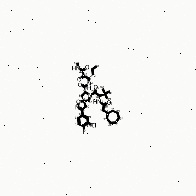 CCC[C@H](NC(=O)[C@@H]1C[C@]2(CC(c3ccc(F)c(Cl)c3)=NO2)CN1C(=O)[C@@H](NC(=O)CC1CCCCCC1)C(C)(C)C)C(=O)C(=O)NC